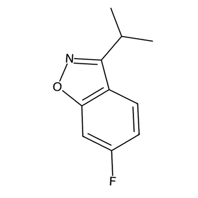 CC(C)c1noc2cc(F)ccc12